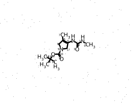 CNC(=O)NC1=C(C)CN(C(=O)OC(C)(C)C)C1